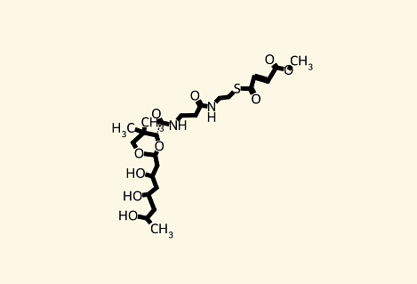 COC(=O)/C=C/C(=O)SCCNC(=O)CCNC(=O)[C@@H]1OC(CC(O)CC(O)CC(C)O)OCC1(C)C